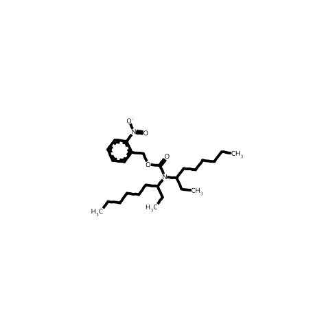 CCCCCCC(CC)N(C(=O)OCc1ccccc1[N+](=O)[O-])C(CC)CCCCCC